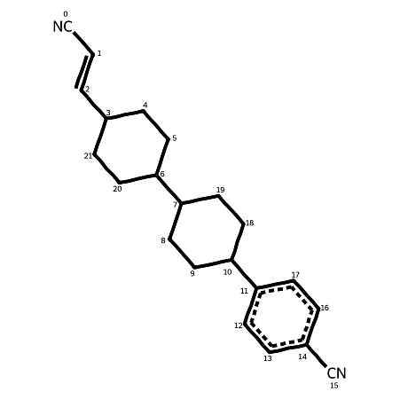 N#CC=CC1CCC(C2CCC(c3ccc(C#N)cc3)CC2)CC1